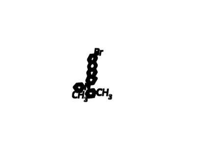 Cc1cccc(N(c2cccc(C)c2)c2ccc3cc4c(cc3c2)Cc2ccc(Br)cc2C4)c1